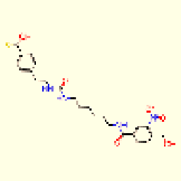 O=C(NCCCCCCNC(=O)c1ccc(CO)c([N+](=O)[O-])c1)NCCc1ccc(C(O)=S)cc1